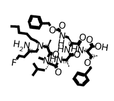 CCCCCCN(C[C@H](N)CCF)[C@@H](C)C(=O)N(C)[C@@H](CC(C)C)C(=O)N[C@@H](C)C(=O)N[C@@H](CNC(=O)OCc1ccccc1)C(=O)N[C@H](C(=O)O)[C@H](C)OCc1ccccc1